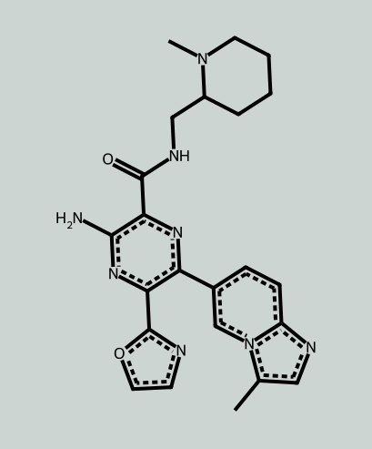 Cc1cnc2ccc(-c3nc(C(=O)NCC4CCCCN4C)c(N)nc3-c3ncco3)cn12